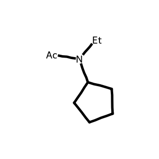 CCN(C(C)=O)C1CCCC1